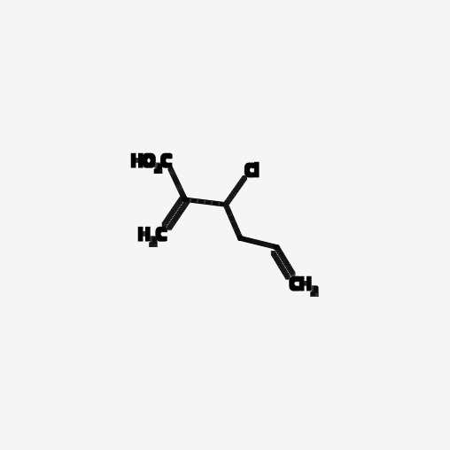 C=CCC(Cl)C(=C)C(=O)O